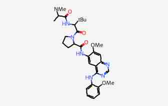 CNC(C)C(=O)NC(C(=O)N1CCCC1C(=O)Nc1cc2c(Nc3ccccc3OC)ncnc2cc1OC)C(C)(C)C